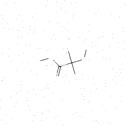 CCOC(=O)C(C)(C)[SiH2]F